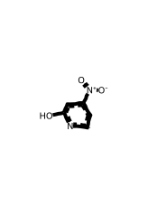 O=[N+]([O-])c1c[c]nc(O)c1